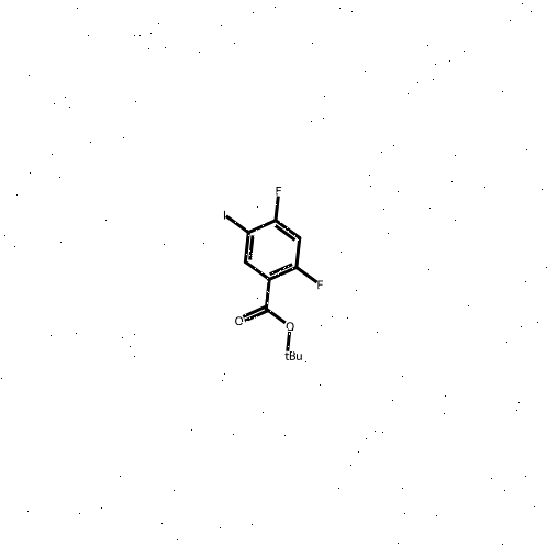 CC(C)(C)OC(=O)c1cc(I)c(F)cc1F